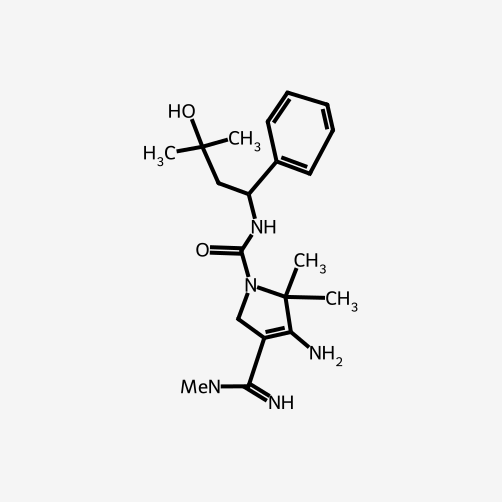 CNC(=N)C1=C(N)C(C)(C)N(C(=O)NC(CC(C)(C)O)c2ccccc2)C1